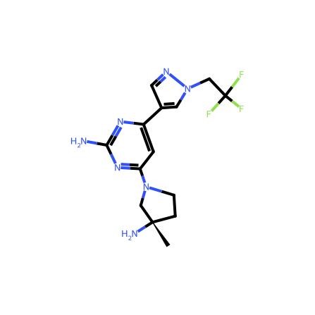 C[C@]1(N)CCN(c2cc(-c3cnn(CC(F)(F)F)c3)nc(N)n2)C1